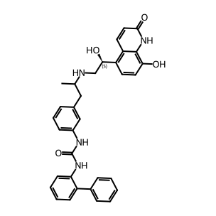 CC(Cc1cccc(NC(=O)Nc2ccccc2-c2ccccc2)c1)NC[C@@H](O)c1ccc(O)c2[nH]c(=O)ccc12